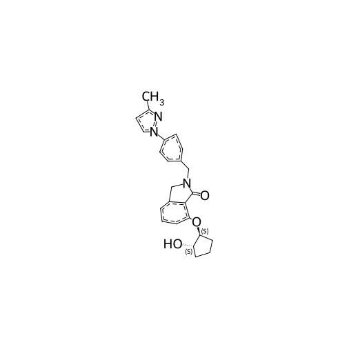 Cc1ccn(-c2ccc(CN3Cc4cccc(O[C@H]5CCC[C@@H]5O)c4C3=O)cc2)n1